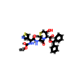 CC(C)(C)OC(=O)NC(C(=O)N[C@@H]1C(=O)N2[C@@H](C(=O)OC(c3ccccc3)c3ccccc3)C(O)CS[C@@H]12)c1cnsc1